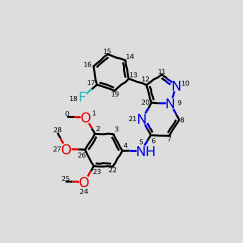 COc1cc(Nc2ccn3ncc(-c4cccc(F)c4)c3n2)cc(OC)c1OC